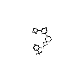 FC(F)(F)c1ccncc1OC1CC2(CCCN(c3cncc(-c4nncs4)n3)C2)C1